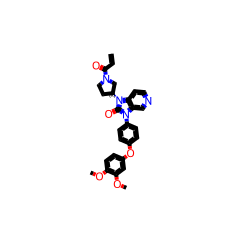 C=CC(=O)N1CC[C@@H](n2c(=O)n(-c3ccc(Oc4ccc(OC)c(OC)c4)cc3)c3cnccc32)C1